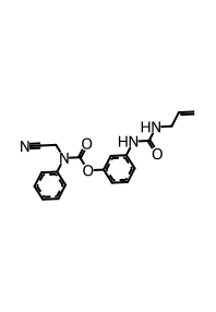 C=CCNC(=O)Nc1cccc(OC(=O)N(CC#N)c2ccccc2)c1